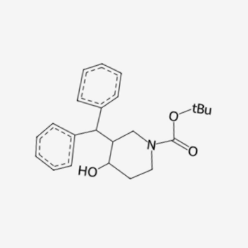 CC(C)(C)OC(=O)N1CCC(O)C(C(c2ccccc2)c2ccccc2)C1